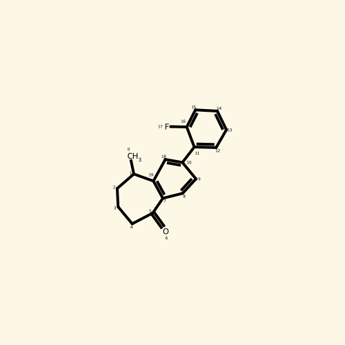 CC1CCCC(=O)c2ccc(-c3ccccc3F)cc21